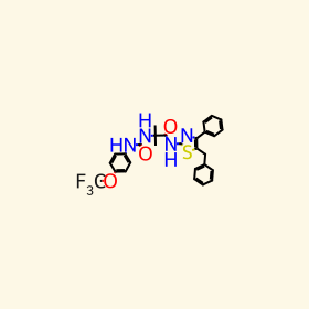 CC(C)(NC(=O)Nc1ccc(OC(F)(F)F)cc1)C(=O)Nc1nc(-c2ccccc2)c(Cc2ccccc2)s1